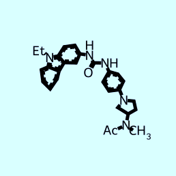 CCn1c2ccccc2c2cc(NC(=O)Nc3ccc(N4CCC(N(C)C(C)=O)C4)cc3)ccc21